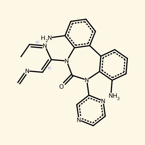 C=N/C=C(\N=C/C)N1C(=O)N(c2cnccn2)c2c(N)cccc2-c2cccc(N)c21